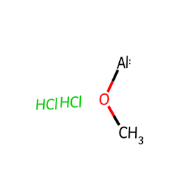 C[O][Al].Cl.Cl